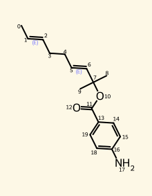 C/C=C/CC/C=C/C(C)(C)OC(=O)c1ccc(N)cc1